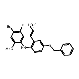 COc1cc(Br)c(F)cc1Nc1ccc(SCc2ccccc2)cc1/C=C/C(=O)O